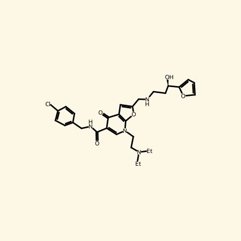 CCN(CC)CCn1cc(C(=O)NCc2ccc(Cl)cc2)c(=O)c2cc(CNCC[C@@H](O)c3ccco3)oc21